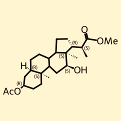 COC(=O)[C@@H](C)[C@H]1CCC2C3CC[C@@H]4C[C@H](OC(C)=O)CC[C@]4(C)C3C[C@H](O)[C@@]21C